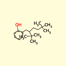 CC(C)(C)CCC(Cc1ccccc1O)C(C)(C)C